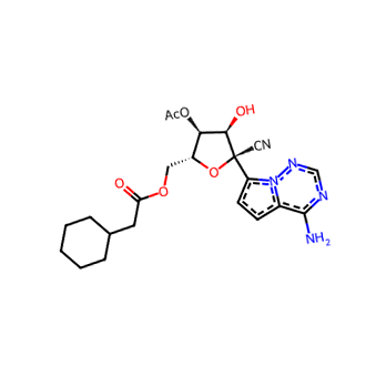 CC(=O)O[C@H]1[C@@H](O)[C@](C#N)(c2ccc3c(N)ncnn23)O[C@@H]1COC(=O)CC1CCCCC1